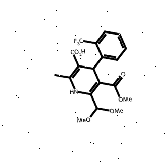 COC(=O)C1=C(C(OC)OC)NC(C)=C(C(=O)O)C1c1ccccc1C(F)(F)F